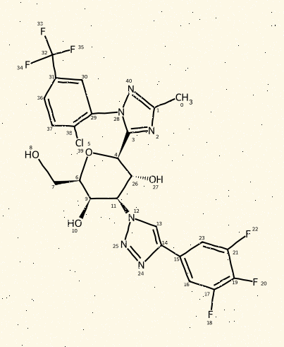 Cc1nc([C@@H]2O[C@H](CO)[C@H](O)[C@H](n3cc(-c4cc(F)c(F)c(F)c4)nn3)[C@H]2O)n(-c2cc(C(F)(F)F)ccc2Cl)n1